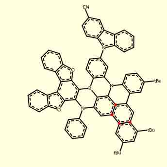 CC(C)(C)c1cc(-c2cc3c4c(c2)N(c2ccccc2)c2c(c5oc6ccccc6c5c5c2oc2ccccc25)B4c2ccc(-n4c5ccccc5c5cc(C#N)ccc54)cc2N3c2ccc(C(C)(C)C)cc2-c2ccccc2)cc(C(C)(C)C)c1